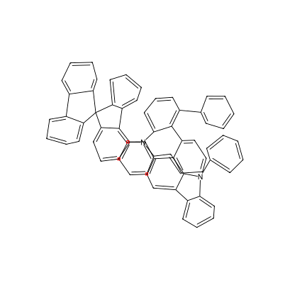 c1ccc(-c2ccccc2-c2c(-c3ccccc3)cccc2N(c2ccc3c4ccccc4n(-c4ccccc4)c3c2)c2cccc3c2-c2ccccc2C32c3ccccc3-c3ccccc32)cc1